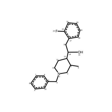 CC1CN(Cc2ccccc2)CCC1C(O)Cc1ccccc1F